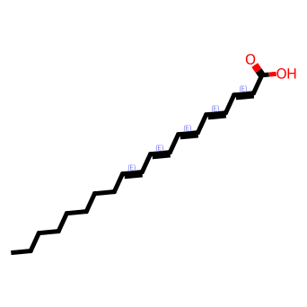 CCCCCCCC/C=C/C=C/C=C/C=C/C=C/C(=O)O